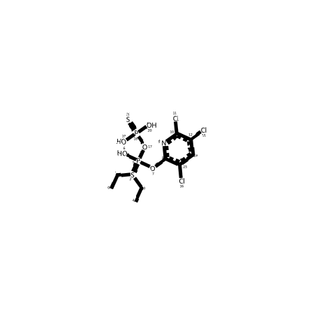 CCS(CC)=P(O)(Oc1nc(Cl)c(Cl)cc1Cl)OP(O)(O)=S